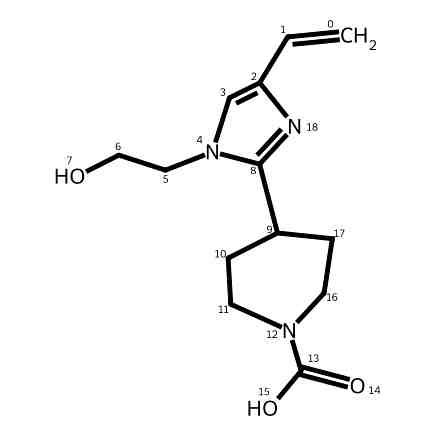 C=Cc1cn(CCO)c(C2CCN(C(=O)O)CC2)n1